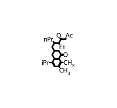 CCCC(CC1CC(=O)c2c(C)c(C)cc(C(C)C)c2C1)C(CC)C(=O)CC(C)=O